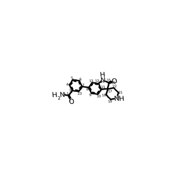 NC(=O)c1cccc(-c2ccc3c(c2)NC(=O)C32CCNCC2)c1